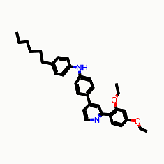 CCCCCCc1ccc(Nc2ccc(-c3ccnc(-c4ccc(OCC)cc4OCC)c3)cc2)cc1